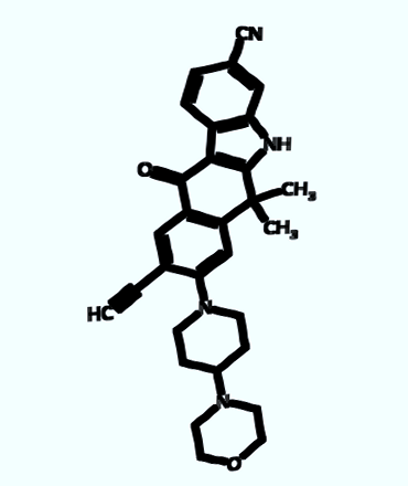 C#Cc1cc2c(cc1N1CCC(N3CCOCC3)CC1)C(C)(C)c1[nH]c3cc(C#N)ccc3c1C2=O